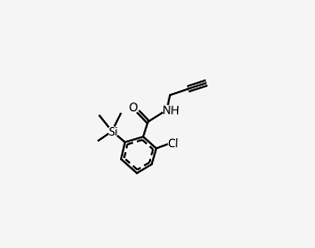 C#CCNC(=O)c1c(Cl)cccc1[Si](C)(C)C